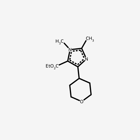 CCOC(=O)c1c(C2CCOCC2)nc(C)n1C